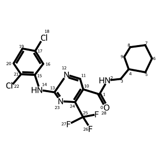 O=C(NCC1CCCCC1)c1cnc(Nc2cc(Cl)ccc2Cl)nc1C(F)(F)F